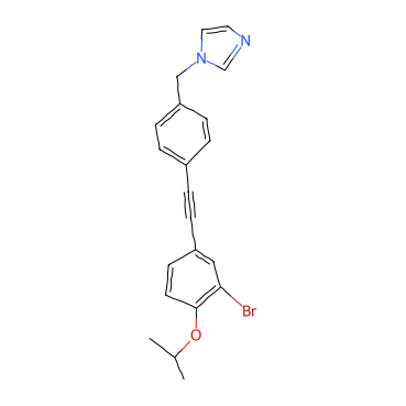 CC(C)Oc1ccc(C#Cc2ccc(Cn3ccnc3)cc2)cc1Br